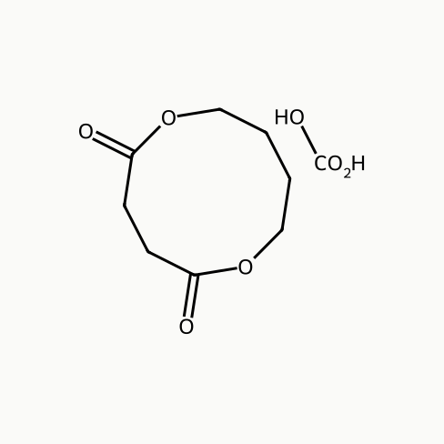 O=C(O)O.O=C1CCC(=O)OCCCCO1